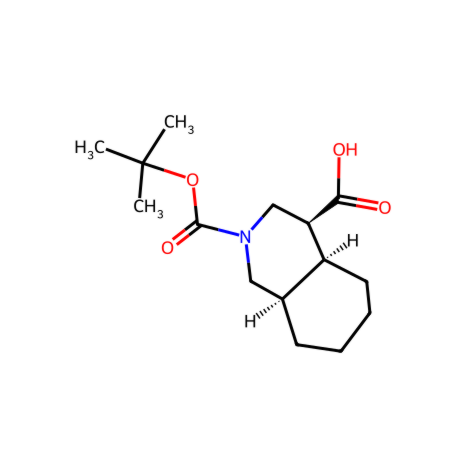 CC(C)(C)OC(=O)N1C[C@@H]2CCCC[C@@H]2[C@H](C(=O)O)C1